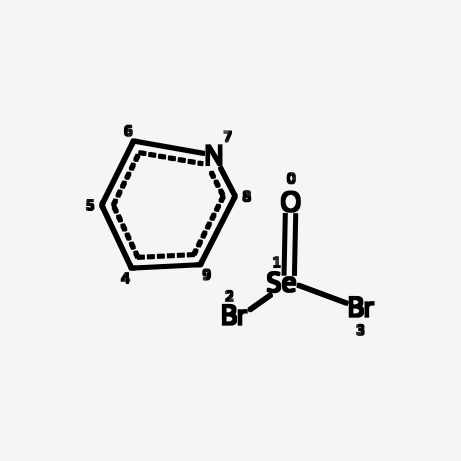 O=[Se](Br)Br.c1ccncc1